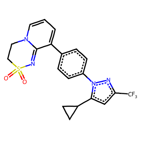 O=S1(=O)CCN2C=CC=C(c3ccc(-n4nc(C(F)(F)F)cc4C4CC4)cc3)C2=N1